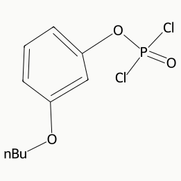 CCCCOc1cccc(OP(=O)(Cl)Cl)c1